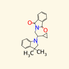 CC1(C)CN(C(CN2C(=O)c3ccccc3C2=O)C2CC2)c2ccccc21